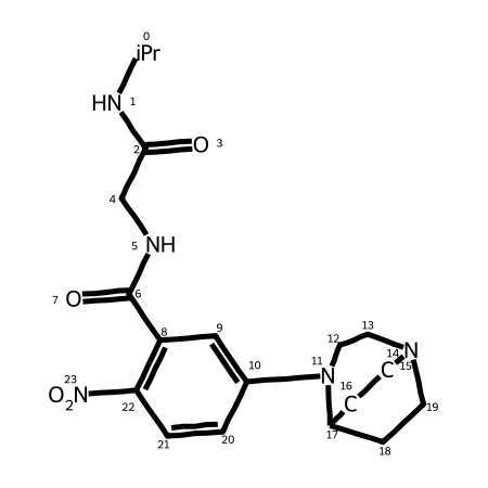 CC(C)NC(=O)CNC(=O)c1cc(N2CCN3CCC2CC3)ccc1[N+](=O)[O-]